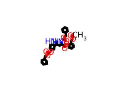 CC(=O)OCc1ccccc1OC(=O)C(Cc1c[nH]c2ccc(OC(=O)OCc3ccccc3)cc12)NC(=O)OCc1ccccc1